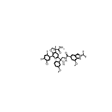 COc1cccc([C@](O)(CNC(=O)c2cc(OC)c3nn(C(F)F)cc3c2)c2cc3c(c(-c4cc(Cl)c(F)cc4F)n2)OC[C@]3(C)C(N)=O)c1